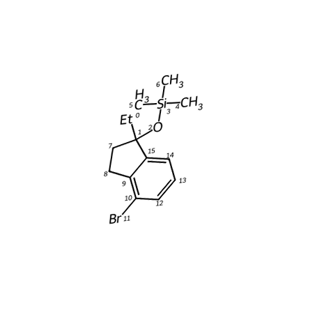 CCC1(O[Si](C)(C)C)CCc2c(Br)cccc21